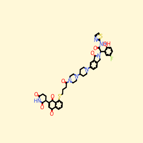 O=C1CCC(C2=CC(=O)c3cccc(SCCCC(=O)N4CCN(C5CCN(c6ccc7c(c6)C(=O)N(C(C(=O)Nc6nccs6)c6cc(F)ccc6O)C7)CC5)CC4)c3C2=O)C(=O)N1